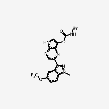 CC(C)NC(=O)Oc1c[nH]c2ncc(-c3nn(C)c4ccc(OC(F)(F)F)cc34)nc12